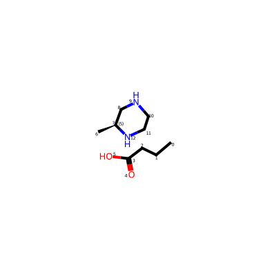 CCCC(=O)O.C[C@H]1CNCCN1